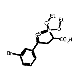 CCOP(=S)(OCC)C(CC(=S)c1cccc(Br)c1)C(=O)O